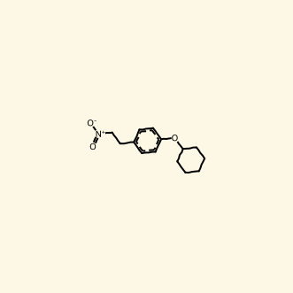 O=[N+]([O-])CCc1ccc(OC2CCCCC2)cc1